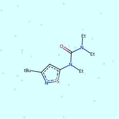 CCN(CC)C(=O)N(CC)c1cc(C(C)(C)C)ns1